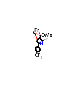 CCc1nc(-c2ccc(C(F)(F)F)cc2)cc(OCCC(C)C)c1C(=O)OC